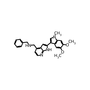 COc1cc2c(-c3cc4c(CNCc5ccccc5)ccnc4[nH]3)cn(C)c2cc1OC